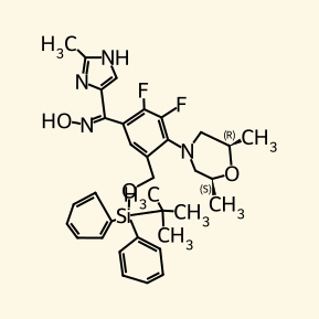 Cc1nc(C(=NO)c2cc(CO[Si](c3ccccc3)(c3ccccc3)C(C)(C)C)c(N3C[C@@H](C)O[C@@H](C)C3)c(F)c2F)c[nH]1